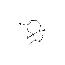 CC1=CC[C@H]2[C@@H](C)CC=C(C(C)C)C[C@@H]12